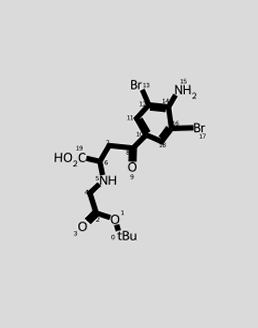 CC(C)(C)OC(=O)CNC(CC(=O)c1cc(Br)c(N)c(Br)c1)C(=O)O